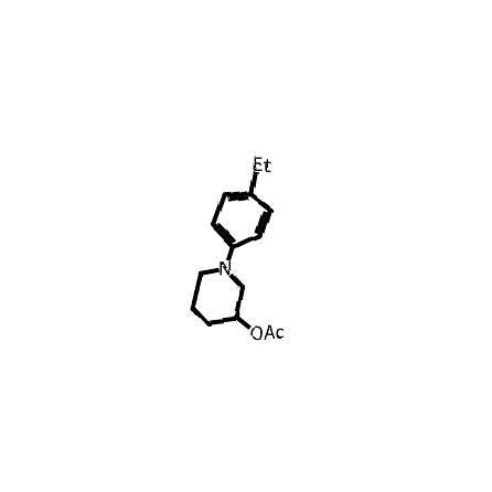 CCc1ccc(N2CCCC(OC(C)=O)C2)cc1